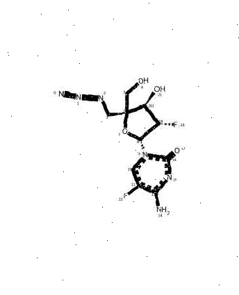 [N-]=[N+]=NC[C@]1(CO)O[C@@H](n2cc(F)c(N)nc2=O)[C@@H](F)[C@@H]1O